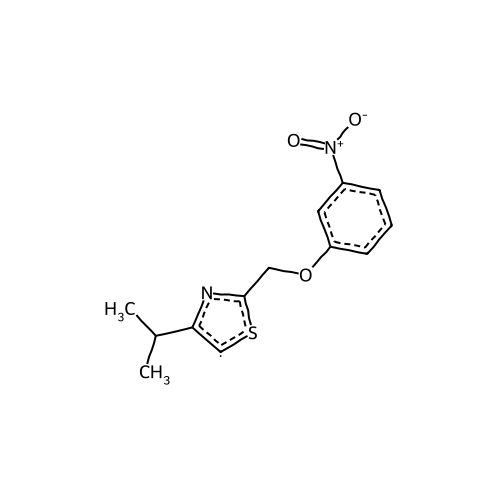 CC(C)c1[c]sc(COc2cccc([N+](=O)[O-])c2)n1